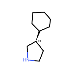 C1CCC([C@H]2CCNC2)CC1